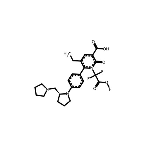 CCc1cc(C(=O)O)c(=O)n(C(F)(F)C(=O)OF)c1-c1ccc(N2CCC[C@H]2CN2CCCC2)cc1